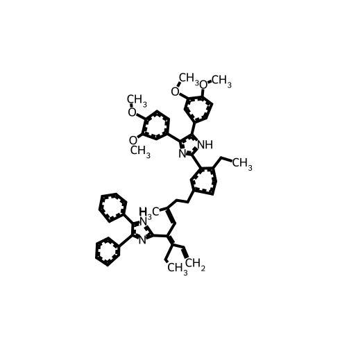 C=C/C(CC)=C(\C=C(/C)CCc1ccc(CC)c(-c2nc(-c3ccc(OC)c(OC)c3)c(-c3ccc(OC)c(OC)c3)[nH]2)c1)c1nc(-c2ccccc2)c(-c2ccccc2)[nH]1